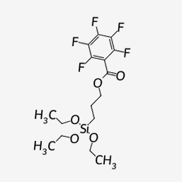 CCO[Si](CCCOC(=O)c1c(F)c(F)c(F)c(F)c1F)(OCC)OCC